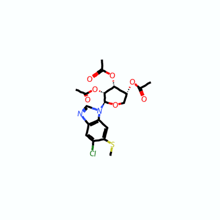 CSc1cc2c(cc1Cl)ncn2[C@@H]1OC[C@@H](OC(C)=O)[C@@H](OC(C)=O)[C@H]1OC(C)=O